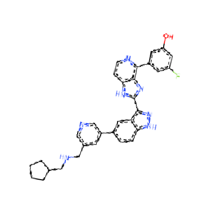 Oc1cc(F)cc(-c2nccc3[nH]c(-c4n[nH]c5ccc(-c6cncc(CNCC7CCCC7)c6)cc45)nc23)c1